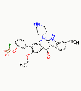 C#Cc1ccc2c(c1)[nH]c1c2c(=O)c2cc(OCC)c(-c3cccc(OS(=O)(=O)F)c3)cc2n1C1CCNCC1